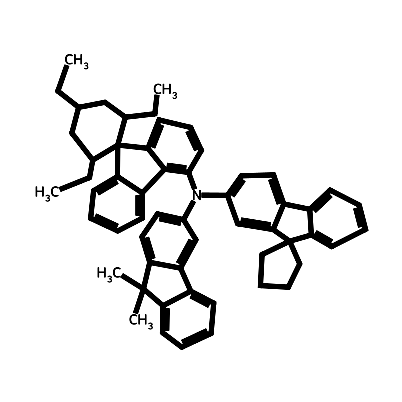 CCC1CC(CC)C2(c3ccccc3-c3c(N(c4ccc5c(c4)-c4ccccc4C5(C)C)c4ccc5c(c4)C4(CCCC4)c4ccccc4-5)cccc32)C(CC)C1